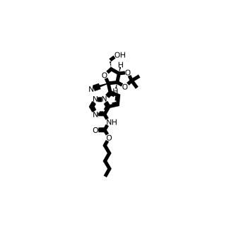 CCCCCOC(=O)Nc1ncnn2c([C@]3(C#N)O[C@H](CO)[C@H]4OC(C)(C)O[C@H]43)ccc12